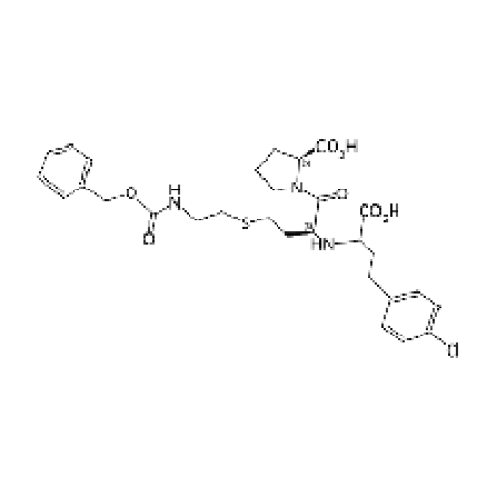 O=C(NCCSCC[C@H](NC(CCc1ccc(Cl)cc1)C(=O)O)C(=O)N1CCC[C@H]1C(=O)O)OCc1ccccc1